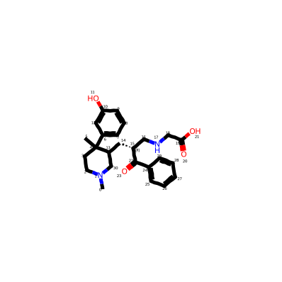 CN1CCC(C)(c2cccc(O)c2)C(C[C@H](CNCC(=O)O)C(=O)c2ccccc2)C1